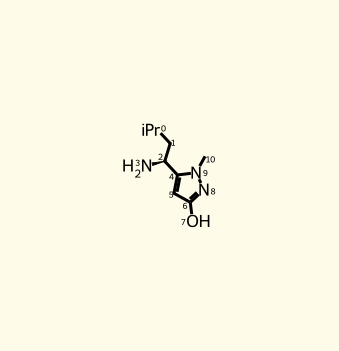 CC(C)C[C@H](N)c1cc(O)nn1C